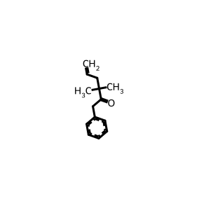 C=CCC(C)(C)C(=O)Cc1ccccc1